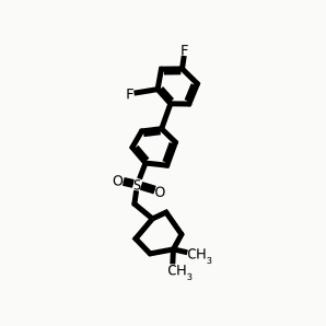 CC1(C)CCC(CS(=O)(=O)c2ccc(-c3ccc(F)cc3F)cc2)CC1